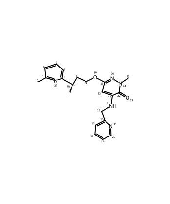 Cc1cccc([C@H](C)CCOc2cc(NCc3ccccn3)c(=O)n(C)n2)n1